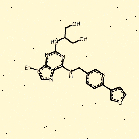 CCn1cnc2c(NCc3ccc(-c4ccoc4)nc3)nc(NC(CO)CO)nc21